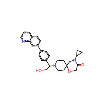 O=C1COC2(CCN(C(CO)c3ccc(-c4ccc5cccnc5c4)cc3)CC2)CN1C1CC1